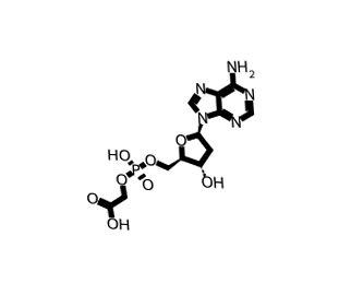 Nc1ncnc2c1ncn2[C@H]1C[C@H](O)[C@@H](COP(=O)(O)OCC(=O)O)O1